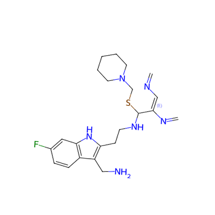 C=N/C=C(/N=C)C(NCCc1[nH]c2cc(F)ccc2c1CN)SCN1CCCCC1